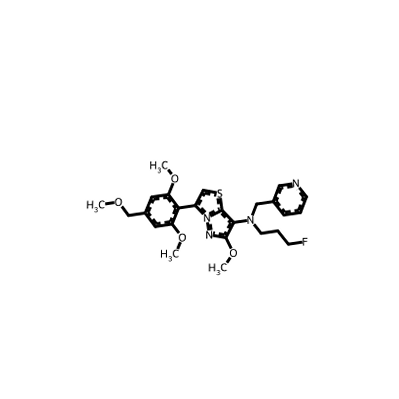 COCc1cc(OC)c(-c2csc3c(N(CCCF)Cc4cccnc4)c(OC)nn23)c(OC)c1